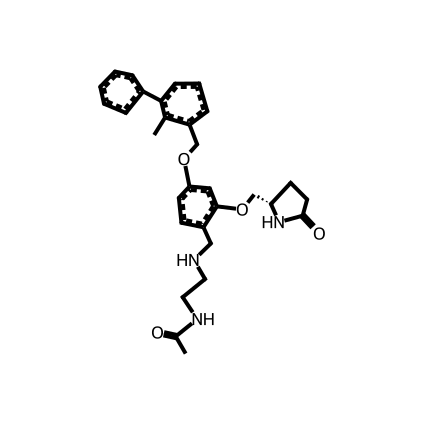 CC(=O)NCCNCc1ccc(OCc2cccc(-c3ccccc3)c2C)cc1OC[C@@H]1CCC(=O)N1